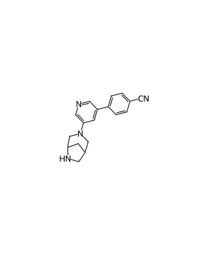 N#Cc1ccc(-c2cncc(N3CC4CNC(C4)C3)c2)cc1